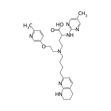 Cc1cnc(NC(CCN(CCCCc2ccc3c(n2)NCCC3)CCOc2ccc(C)nc2)C(=O)O)nc1